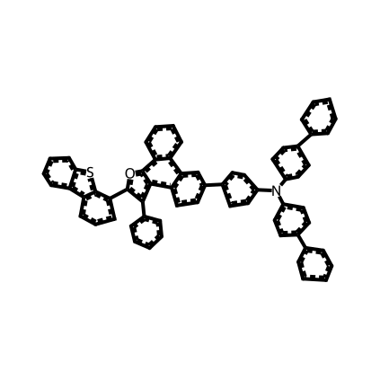 c1ccc(-c2ccc(N(c3ccc(-c4ccccc4)cc3)c3ccc(-c4ccc5c(c4)c4ccccc4c4oc(-c6cccc7c6sc6ccccc67)c(-c6ccccc6)c54)cc3)cc2)cc1